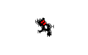 CC(C)C(=O)Nc1nc2c(ncn2[C@@H]2O[C@H]3COP(=O)(S)O[C@H]4C[C@H](Oc5ccncn5)C[C@@H]4COP(=S)(OCCC#N)O[C@@H]2C3O[Si](C)(C)C(C)(C)C)c(=O)[nH]1